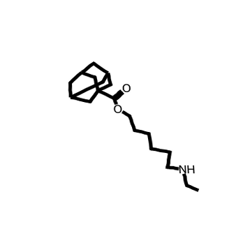 CCNCCCCCCOC(=O)C12CC3CC(CC(C3)C1)C2